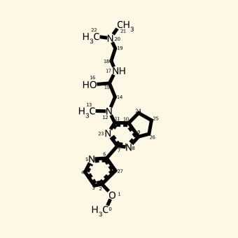 COc1ccnc(-c2nc3c(c(N(C)CC(O)NCCN(C)C)n2)CCC3)c1